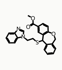 COC(=O)c1ccc2c(c1)C(SCCn1cnc3ccccc31)c1ccccc1CO2